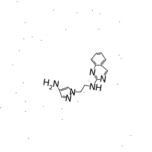 Nc1cnn(CCNc2ncc3ccccc3n2)c1